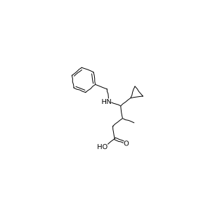 CC(CC(=O)O)C(NCc1ccccc1)C1CC1